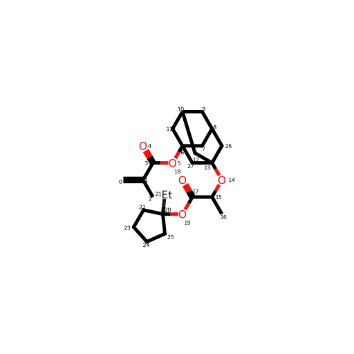 C=C(C)C(=O)OC12CC3CC(C1)CC(OC(C)C(=O)OC1(CC)CCCC1)(C3)C2